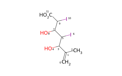 C=C(C)C(O)C(I)C(O)C(I)C(=O)O